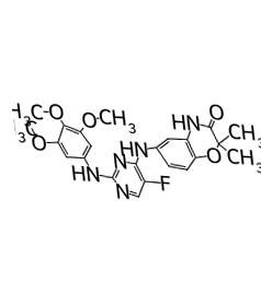 COc1cc(Nc2ncc(F)c(Nc3ccc4c(c3)NC(=O)C(C)(C)O4)n2)cc(OC)c1OC